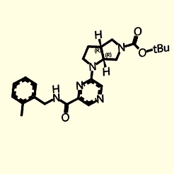 Cc1ccccc1CNC(=O)c1cncc(N2CC[C@@H]3CN(C(=O)OC(C)(C)C)C[C@@H]32)n1